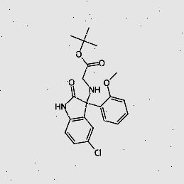 COc1ccccc1C1(NCC(=O)OC(C)(C)C)C(=O)Nc2ccc(Cl)cc21